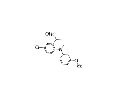 CCOC1=CC=CC(N(C)c2ccc(Cl)cc2C(C)C=O)C1